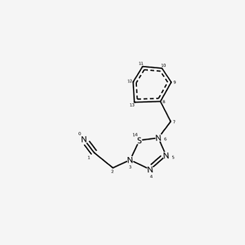 N#CCN1N=NN(Cc2ccccc2)S1